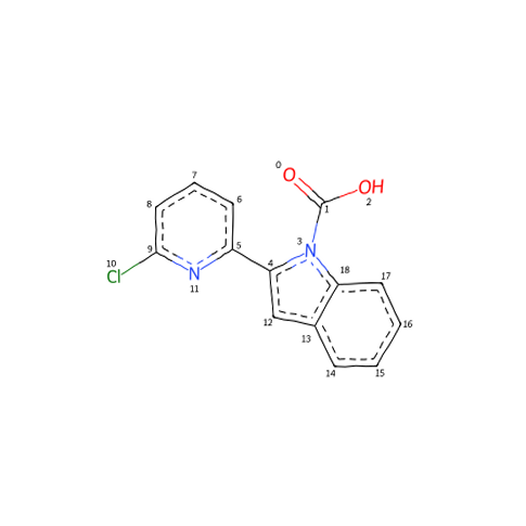 O=C(O)n1c(-c2cccc(Cl)n2)cc2ccccc21